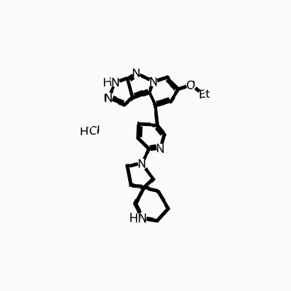 CCOc1cc(-c2ccc(N3CCC4(CCCNC4)C3)nc2)c2c3cn[nH]c3nn2c1.Cl